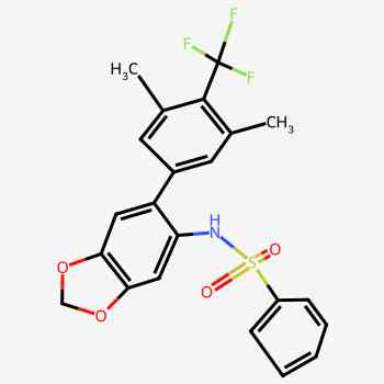 Cc1cc(-c2cc3c(cc2NS(=O)(=O)c2ccccc2)OCO3)cc(C)c1C(F)(F)F